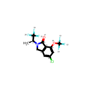 C[C@H](N1Cc2cc(Cl)cc(OC(F)(F)F)c2C1=O)C(F)(F)F